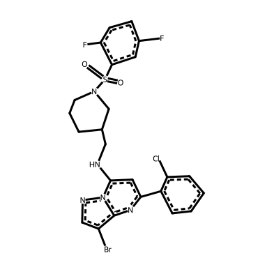 O=S(=O)(c1cc(F)ccc1F)N1CCCC(CNc2cc(-c3ccccc3Cl)nc3c(Br)cnn23)C1